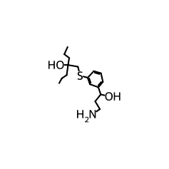 CCCC(O)(CCC)CSc1cccc(C(O)CCN)c1